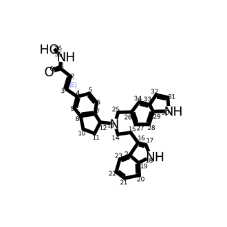 O=C(/C=C/c1ccc2c(c1)CCC2N(CCc1c[nH]c2ccccc12)Cc1ccc2[nH]ccc2c1)NO